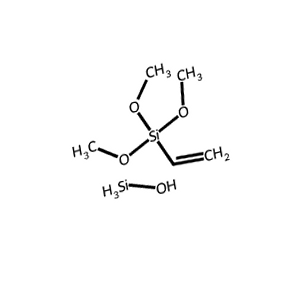 C=C[Si](OC)(OC)OC.O[SiH3]